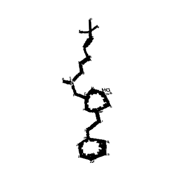 CN(C/C=C/C#CC(C)(C)C)Cc1cccc(C=Cc2ccccc2)c1.Cl